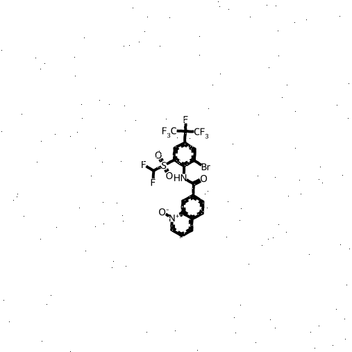 O=C(Nc1c(Br)cc(C(F)(C(F)(F)F)C(F)(F)F)cc1S(=O)(=O)C(F)F)c1ccc2ccc[n+]([O-])c2c1